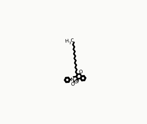 CCCCCCCCCCCCCCCC1=C(CN(C(=O)Cl)c2ccccc2)C(=O)c2ccccc2C1=O